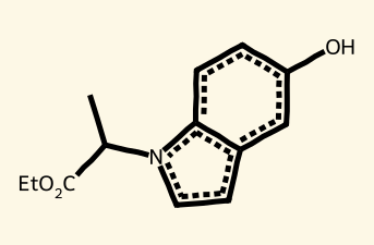 CCOC(=O)C(C)n1ccc2cc(O)ccc21